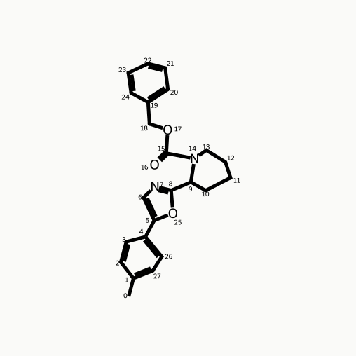 Cc1ccc(-c2cnc(C3CCCCN3C(=O)OCc3ccccc3)o2)cc1